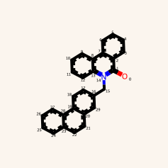 O=c1c2ccccc2c2ccccc2n1Cc1ccc2c(ccc3ccccc32)c1